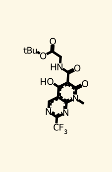 Cn1c(=O)c(C(=O)NCC(=O)OC(C)(C)C)c(O)c2cnc(C(F)(F)F)nc21